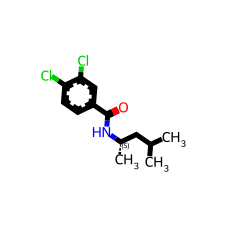 CC(C)C[C@H](C)NC(=O)c1ccc(Cl)c(Cl)c1